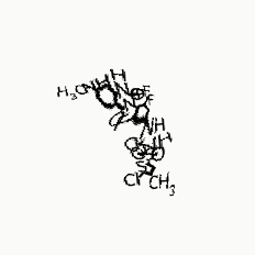 CNc1ccc2c(=O)n(-c3c(F)cc(NC(=O)NS(=O)(=O)c4cc(C)c(Cl)s4)cc3C(F)(F)F)c(=O)[nH]c2c1